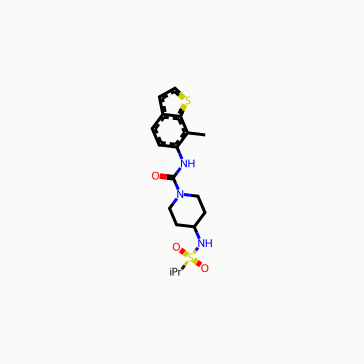 Cc1c(NC(=O)N2CCC(NS(=O)(=O)C(C)C)CC2)ccc2ccsc12